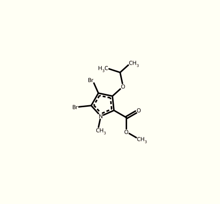 COC(=O)c1c(OC(C)C)c(Br)c(Br)n1C